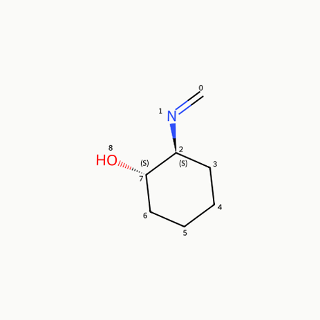 C=N[C@H]1CCCC[C@@H]1O